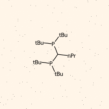 CCCC(P(C(C)(C)C)C(C)(C)C)P(C(C)(C)C)C(C)(C)C